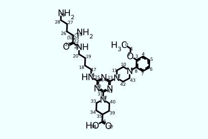 CCOc1ccccc1N1CCN(c2nc(NCCCCNC(=O)[C@@H](N)CCCN)nc(N3CCC(C(=O)O)CC3)n2)CC1